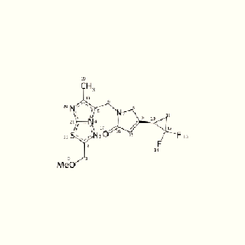 COCc1nn2c(CN3CC([C@H]4CC4(F)F)=CC3=O)c(C)nc2s1